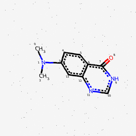 CN(C)c1ccc2c(=O)[nH]cnc2c1